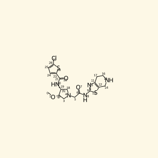 CO[C@H]1CN(CC(=O)Nc2nc3c(s2)CNCC3)C[C@@H]1NC(=O)c1ccc(Cl)s1